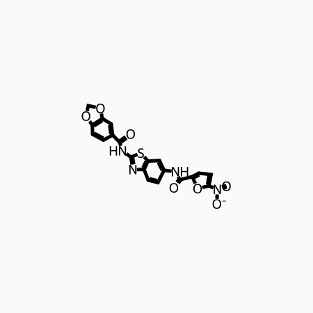 O=C(Nc1nc2ccc(NC(=O)c3ccc([N+](=O)[O-])o3)cc2s1)c1ccc2c(c1)OCO2